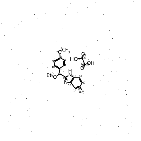 CCOC(c1ccc(OC(F)(F)F)cc1)c1nc2cc(F)ccc2[nH]1.O=C(O)C(=O)O